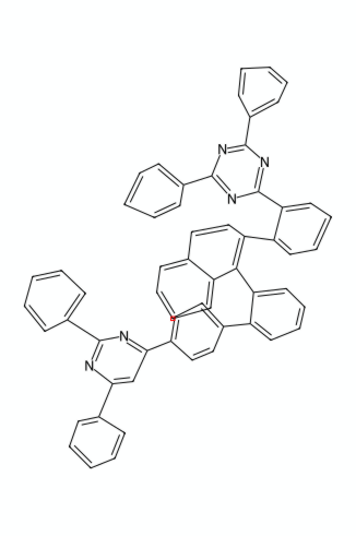 c1ccc(-c2cc(-c3ccc(-c4ccccc4-c4c(-c5ccccc5-c5nc(-c6ccccc6)nc(-c6ccccc6)n5)ccc5ccccc45)cc3)nc(-c3ccccc3)n2)cc1